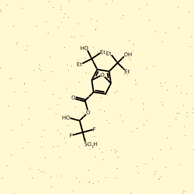 CCC(O)(CC)c1c(C(O)(CC)CC)c2oc1cc2C(=O)OC(O)C(F)(F)S(=O)(=O)O